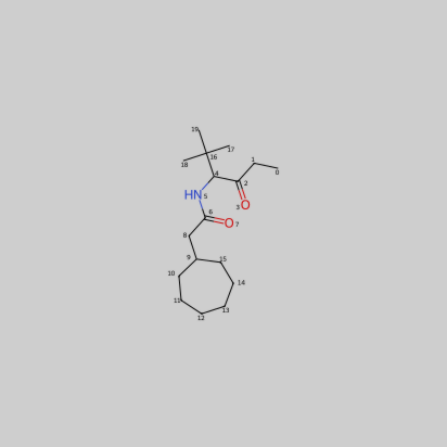 CCC(=O)C(NC(=O)CC1CCCCCC1)C(C)(C)C